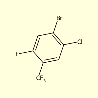 Fc1cc(Br)c(Cl)cc1C(F)(F)F